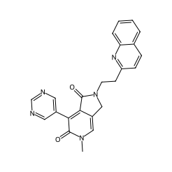 Cn1cc2c(c(-c3cncnc3)c1=O)C(=O)N(CCc1ccc3ccccc3n1)C2